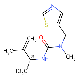 C=C(C)[C@H](NC(=O)N(C)Cc1cncs1)C(=O)O